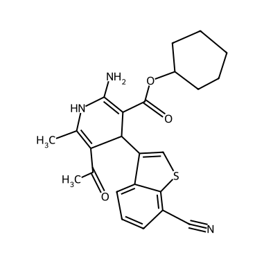 CC(=O)C1=C(C)NC(N)=C(C(=O)OC2CCCCC2)C1c1csc2c(C#N)cccc12